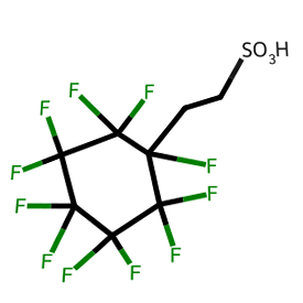 O=S(=O)(O)CCC1(F)C(F)(F)C(F)(F)C(F)(F)C(F)(F)C1(F)F